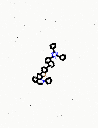 C1=CN(c2ccccc2)c2c3sc4cc(-c5cccc6c(-c7nc(-c8ccccc8)nc(-c8ccccc8)n7)cccc56)ccc4c3cc3cccc1c23